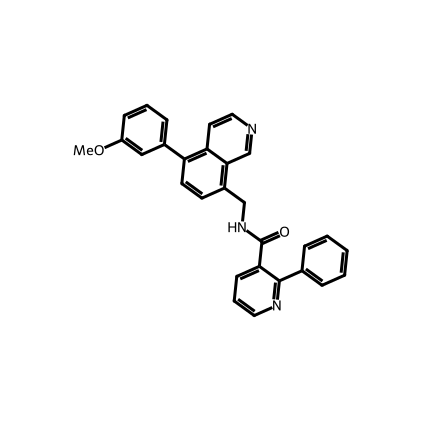 COc1cccc(-c2ccc(CNC(=O)c3cccnc3-c3ccccc3)c3cnccc23)c1